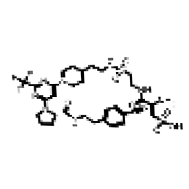 N#Cc1ccc(CCNC(=O)[C@@H]2CCCN2c2cc(N3CCC(CCNS(=O)(=O)CCNC(=O)C(N)CS(=O)(=O)O)CC3)nc(C(F)(F)F)n2)cc1